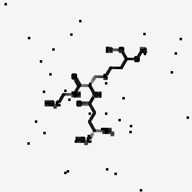 CCOC(CCSC[C@H](NC(=O)CC[C@H](N)C(=O)O)C(=O)NCC(=O)O)OCC